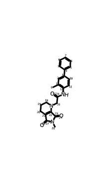 Cc1cc(-c2ccccc2)ccc1NC(=O)CN1CCCC2=C1C(=O)N(C)C2=O